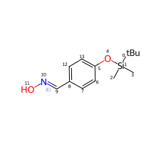 CC(C)(C)[Si](C)(C)Oc1ccc(/C=N/O)cc1